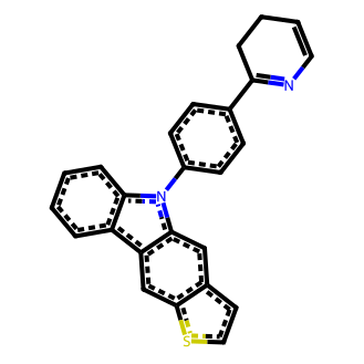 C1=CN=C(c2ccc(-n3c4ccccc4c4cc5sccc5cc43)cc2)CC1